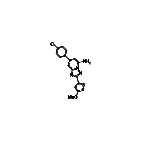 COc1csc(-c2nc3cc(-c4ccc(Cl)cc4)cc(N)n3n2)c1